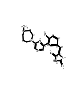 CN1CCCN(c2cncc(-c3cc(C=C4SC(=O)NC4=O)ccc3F)n2)CC1